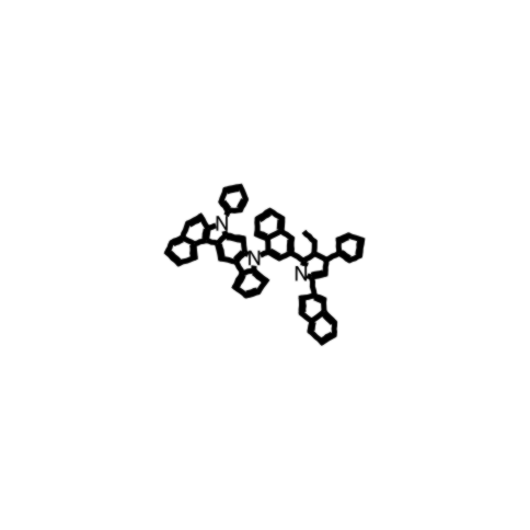 CCC1C(c2cc(-n3c4ccccc4c4cc5c6c7ccccc7ccc6n(-c6ccccc6)c5cc43)c3ccccc3c2)=NC(c2ccc3ccccc3c2)=CC1c1ccccc1